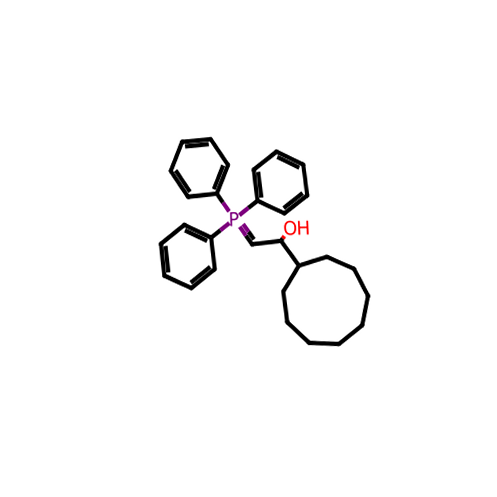 OC(C=P(c1ccccc1)(c1ccccc1)c1ccccc1)C1CCCCCCCC1